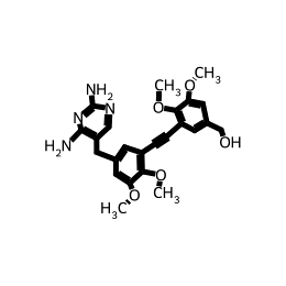 COc1cc(CO)cc(C#Cc2cc(Cc3cnc(N)nc3N)cc(OC)c2OC)c1OC